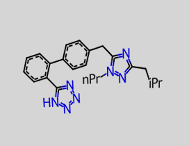 CCCn1nc(CC(C)C)nc1Cc1ccc(-c2ccccc2-c2nnn[nH]2)cc1